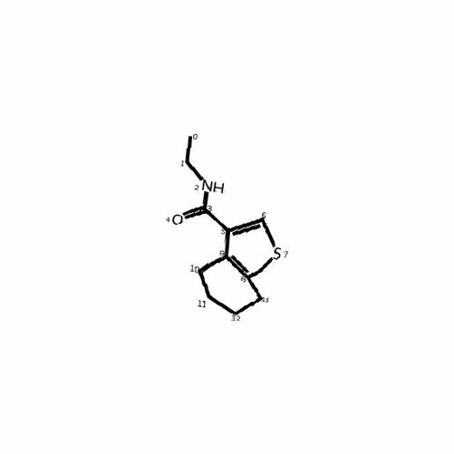 CCNC(=O)c1csc2c1CCCC2